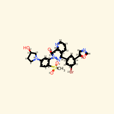 CS(=O)(=O)c1ccc(N2CCC(O)C2)cc1-n1nc(-c2cc(Br)cc(-c3cnco3)c2)c2cccnc2c1=O